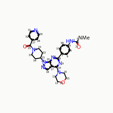 CNC(=O)Nc1ccc(-c2nc(N3CCOCC3)c3cnn(C4CCN(C(=O)c5ccncc5)CC4)c3n2)cc1